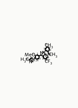 COc1cc(-c2nnc3n(C(C)c4ccc(C)cc4)cc(C(F)(F)F)cc2-3)ccc1-n1cnc(C)c1